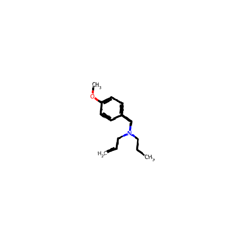 C=CCN(CCC)Cc1ccc(OC)cc1